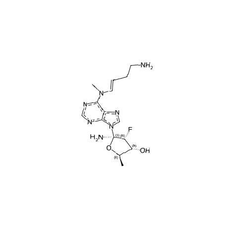 C[C@H]1O[C@@](N)(n2cnc3c(N(C)C=CCCN)ncnc32)[C@H](F)[C@@H]1O